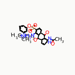 CC(=O)Nc1cccc2c1C(=O)c1ccc(S(=O)(=O)Oc3cccc([N+](C)(C)C)c3)c(N)c1C2=O